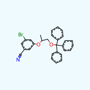 CC(COC(c1ccccc1)(c1ccccc1)c1ccccc1)Oc1cc(Br)cc(C#N)c1